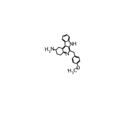 COc1ccc(Cc2nc3c(c4c2[nH]c2ccccc24)CC(N)CC3)cc1